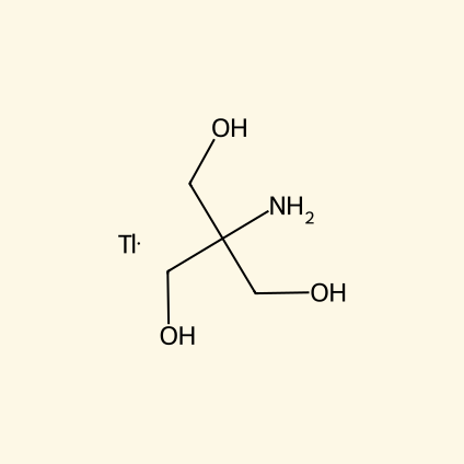 NC(CO)(CO)CO.[Tl]